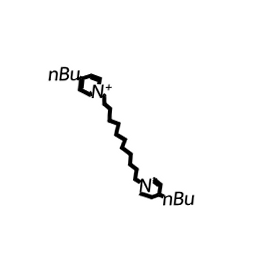 CCCCc1cc[n+](CCCCCCCCCCCC[N+]2=CCC(CCCC)C=C2)cc1